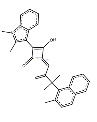 C=C(/C=C1\C(=O)C(c2c(C)n(C)c3ccccc23)=C1O)C(C)(C)c1c(C)ccc2ccccc12